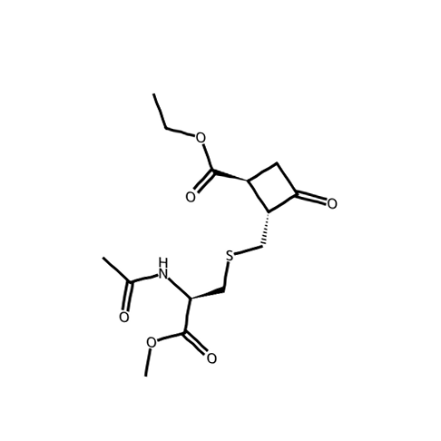 CCOC(=O)[C@H]1CC(=O)[C@@H]1CSC[C@H](NC(C)=O)C(=O)OC